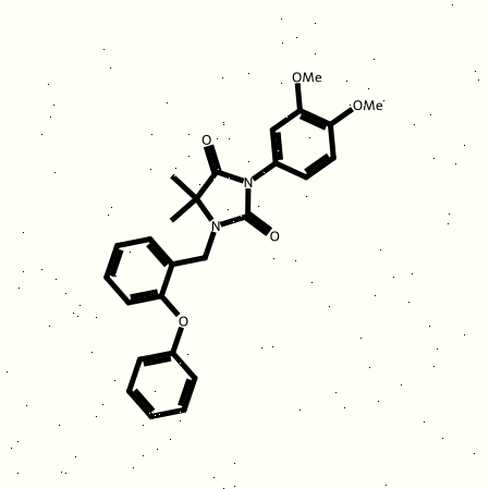 COc1ccc(N2C(=O)N(Cc3ccccc3Oc3ccccc3)C(C)(C)C2=O)cc1OC